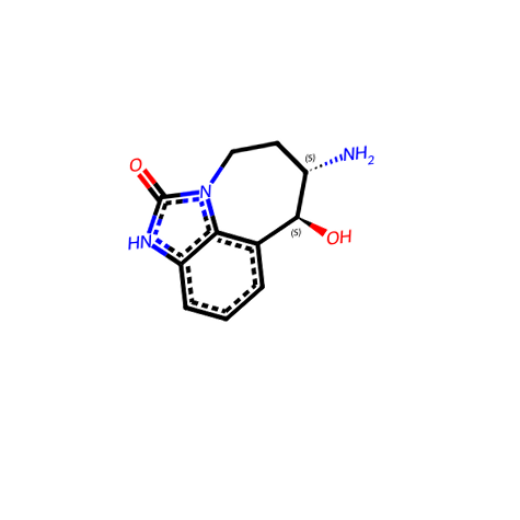 N[C@H]1CCn2c(=O)[nH]c3cccc(c32)[C@@H]1O